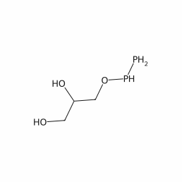 OCC(O)COPP